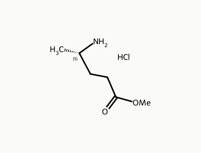 COC(=O)CC[C@H](C)N.Cl